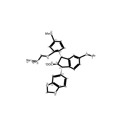 CCCOc1ccc2c(c1)[C@@H](c1ccc(OC)cc1OCC(=O)[O-])[C@H](C(=O)[O-])[C@H]2c1ccc2c(c1)OCO2.[Na+].[Na+]